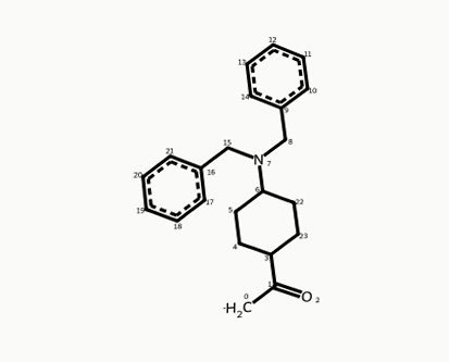 [CH2]C(=O)C1CCC(N(Cc2ccccc2)Cc2ccccc2)CC1